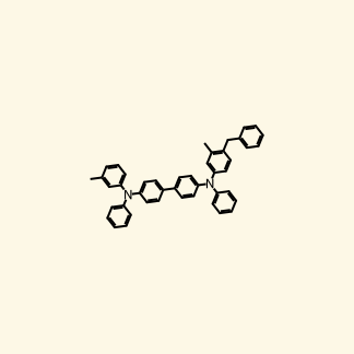 Cc1cccc(N(c2ccccc2)c2ccc(-c3ccc(N(c4ccccc4)c4ccc(Cc5ccccc5)c(C)c4)cc3)cc2)c1